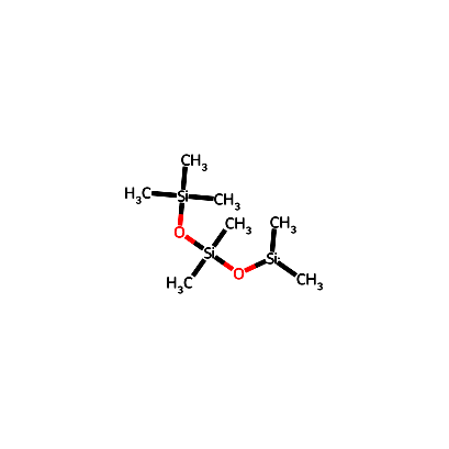 C[Si](C)O[Si](C)(C)O[Si](C)(C)C